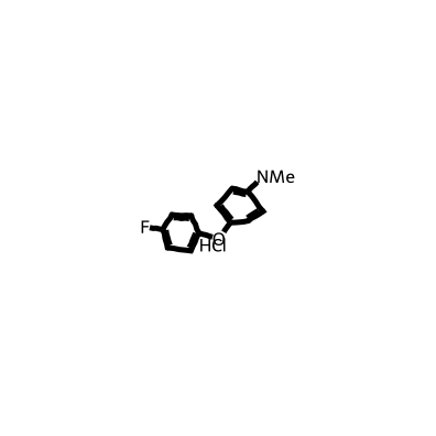 CNc1ccc(Oc2ccc(F)cc2)cc1.Cl